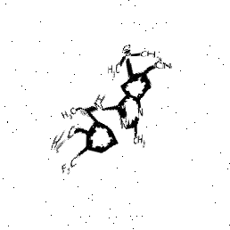 Cc1nc(N[C@H](C)c2cccc(C(F)(F)F)c2C)c2cc(P(C)(C)=O)c(C#N)cc2n1